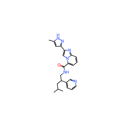 Cc1cc(-c2cn3c(C(=O)NCC(CC(C)C)c4cccnc4)cccc3n2)n[nH]1